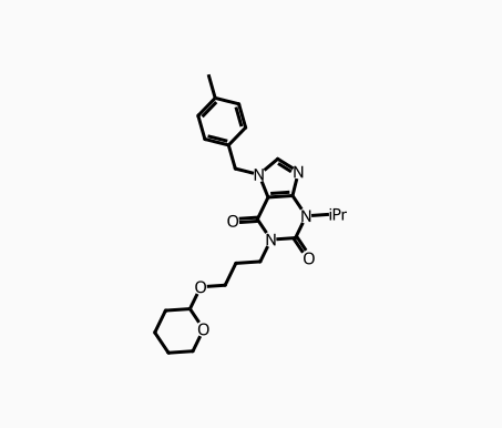 Cc1ccc(Cn2cnc3c2c(=O)n(CCCOC2CCCCO2)c(=O)n3C(C)C)cc1